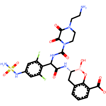 NCCN1CCN(C(=O)NC(C(=O)N[C@H]2Cc3cccc(C(=O)O)c3OB2O)c2c(F)cc(NS(N)(=O)=O)cc2F)C(=O)C1=O